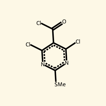 CSc1nc(Cl)c(C(=O)Cl)c(Cl)n1